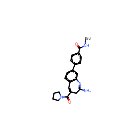 CC(C)(C)NC(=O)c1ccc(-c2ccc3c(c2)N=C(N)CC(C(=O)N2CCCC2)=C3)cc1